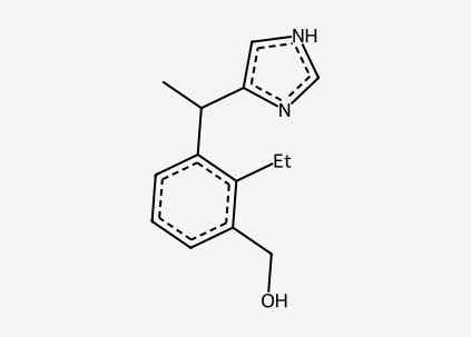 CCc1c(CO)cccc1C(C)c1c[nH]cn1